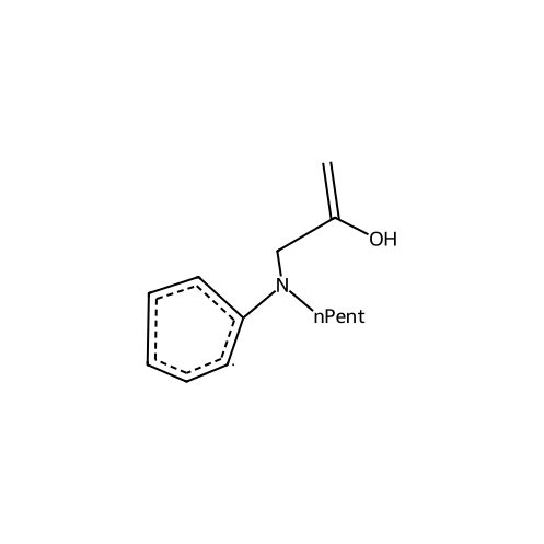 C=C(O)CN(CCCCC)c1[c]cccc1